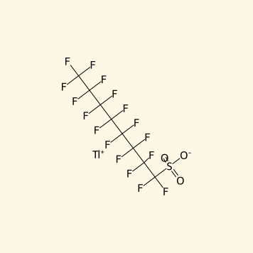 O=S(=O)([O-])C(F)(F)C(F)(F)C(F)(F)C(F)(F)C(F)(F)C(F)(F)C(F)(F)C(F)(F)F.[Tl+]